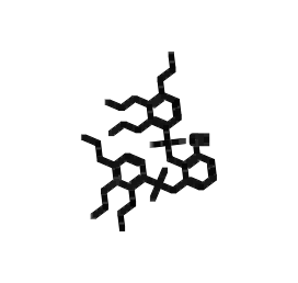 CCCc1ccc(C(C)(C)Cc2cccc(O)c2CC(C)(C)c2ccc(CCC)c(CCC)c2CCC)c(CCC)c1CCC